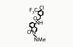 CNCCn1ccc2c(NC(=O)Cc3ccc(Cl)c(C(F)(F)F)c3)cccc2c1=O